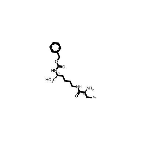 CC(C)C[C@H](N)C(=O)NCCCC[C@H](NC(=O)OCc1ccccc1)C(=O)O